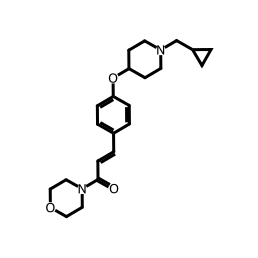 O=C(C=Cc1ccc(OC2CCN(CC3CC3)CC2)cc1)N1CCOCC1